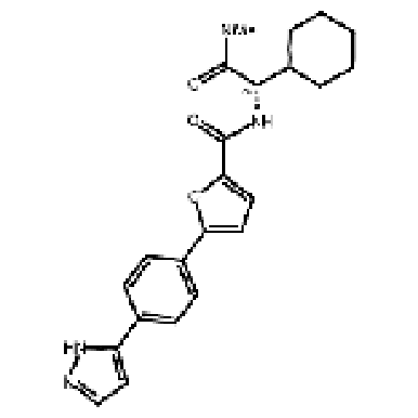 CNC(=O)[C@@H](NC(=O)c1ccc(-c2ccc(-c3ccn[nH]3)cc2)o1)C1CCCCC1